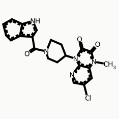 Cn1c(=O)c(=O)n(C2CCN(C(=O)c3c[nH]c4ccccc34)CC2)c2ncc(Cl)cc21